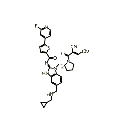 CC(C)(C)C=C(C#N)C(=O)N1CCC[C@@H]1Cn1c(=NC(=O)c2ccc(-c3ccnc(F)c3)s2)[nH]c2cc(CNCC3CC3)ccc21